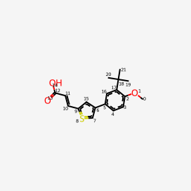 COc1ccc(-c2csc(C=CC(=O)O)c2)cc1C(C)(C)C